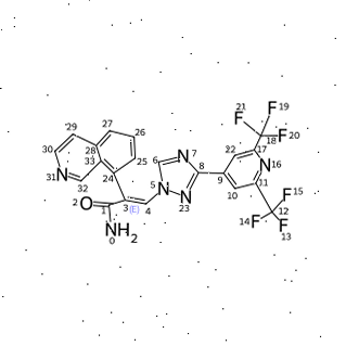 NC(=O)/C(=C/n1cnc(-c2cc(C(F)(F)F)nc(C(F)(F)F)c2)n1)c1cccc2ccncc12